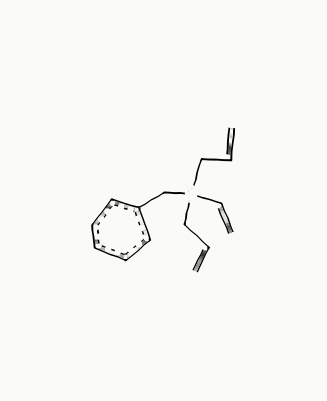 C=CCS(C=C)(CC=C)Cc1ccccc1